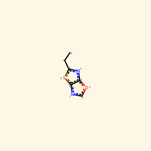 CCc1nc2ocnc2s1